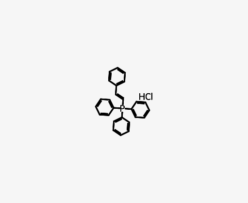 C(=C[P](c1ccccc1)(c1ccccc1)c1ccccc1)c1ccccc1.Cl